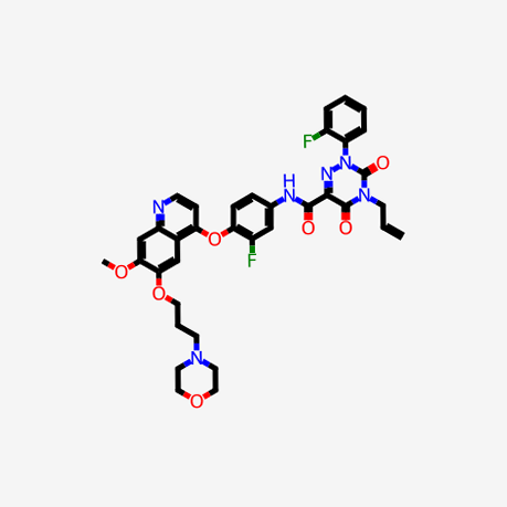 C=CCn1c(=O)c(C(=O)Nc2ccc(Oc3ccnc4cc(OC)c(OCCCN5CCOCC5)cc34)c(F)c2)nn(-c2ccccc2F)c1=O